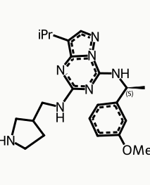 COc1cccc([C@H](C)Nc2nc(NCC3CCNC3)nc3c(C(C)C)cnn23)c1